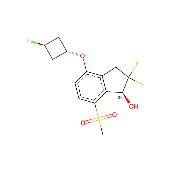 CS(=O)(=O)c1ccc(O[C@H]2C[C@H](F)C2)c2c1[C@H](O)C(F)(F)C2